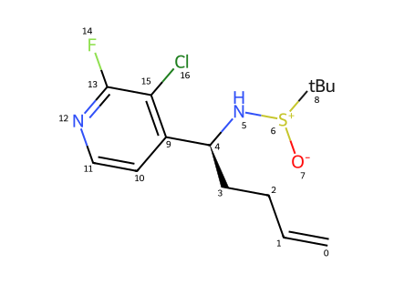 C=CCC[C@H](N[S+]([O-])C(C)(C)C)c1ccnc(F)c1Cl